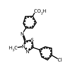 Cn1nc(-c2ccc(Cl)cc2)sc1=Nc1ccc(C(=O)O)cc1